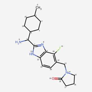 CC1CCC(C(N)c2nc3c(F)c(CN4CCCC4=O)ccc3[nH]2)CC1